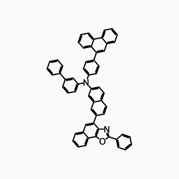 c1ccc(-c2cccc(N(c3ccc(-c4cc5ccccc5c5ccccc45)cc3)c3ccc4ccc(-c5cc6ccccc6c6oc(-c7ccccc7)nc56)cc4c3)c2)cc1